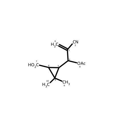 C=C(C#N)C(OC(C)=O)C1C(C(=O)O)C1(C)C